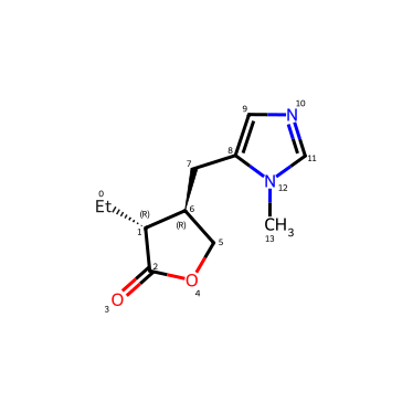 CC[C@H]1C(=O)OC[C@@H]1Cc1cncn1C